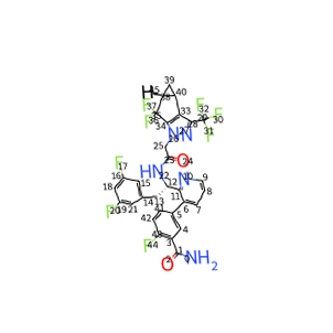 NC(=O)c1cc(-c2cccnc2[C@H](Cc2cc(F)cc(F)c2)NC(=O)Cn2nc(C(F)(F)F)c3c2C(F)(F)[C@@H]2CC32)ccc1F